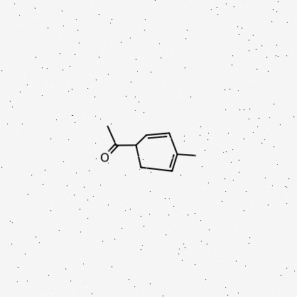 CC(=O)C1C=CC(C)=CC1